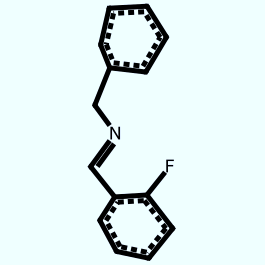 Fc1ccccc1/C=N/Cc1ccccc1